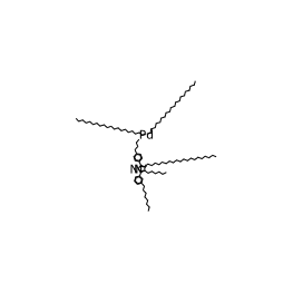 CCCCCCCCCCCCCCCCCCCCC1=C(c2ccc(CCCC)cc2)[N+](=[N-])C(c2cccc(CCCCCCCC)c2)=C1CCCCCC.CCCCCCCCCCCCCCCCCCC[CH2][Pd][CH2]CCCCCCCCCCCCCCCCCCC